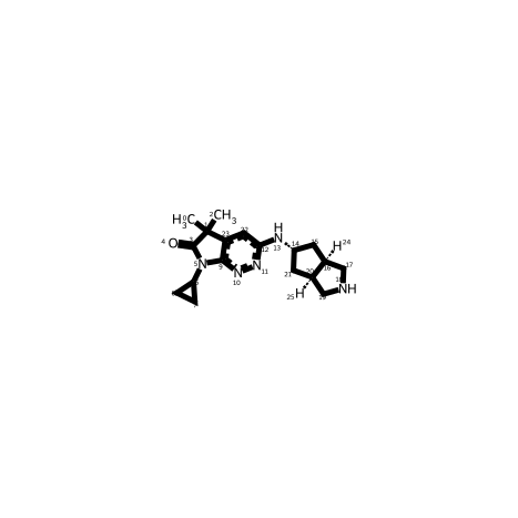 CC1(C)C(=O)N(C2CC2)c2nnc(N[C@@H]3C[C@H]4CNC[C@H]4C3)cc21